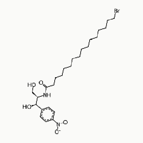 O=C(CCCCCCCCCCCCCCCBr)N[C@H](CO)[C@H](O)c1ccc([N+](=O)[O-])cc1